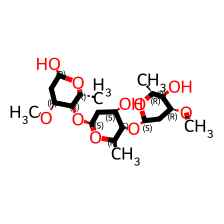 CO[C@@H]1C[C@H](O[C@H]2[C@@H](O)C[C@H](O[C@@H]3[C@@H](C)O[C@@H](O)C[C@H]3OC)O[C@@H]2C)O[C@H](C)[C@H]1O